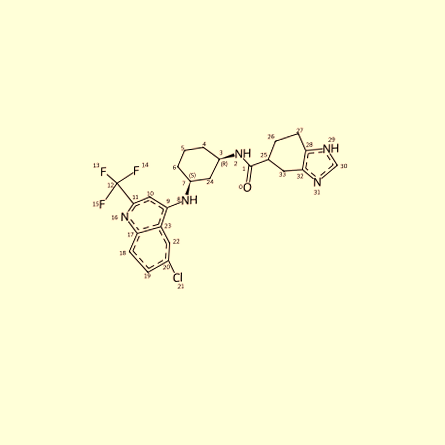 O=C(N[C@@H]1CCC[C@H](Nc2cc(C(F)(F)F)nc3ccc(Cl)cc23)C1)C1CCc2[nH]cnc2C1